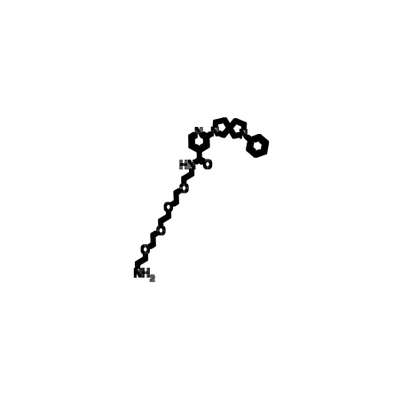 NCCOCCOCCOCCOCCNC(=O)c1ccnc(N2CCC3(CCN(c4ccccc4)C3)C2)c1